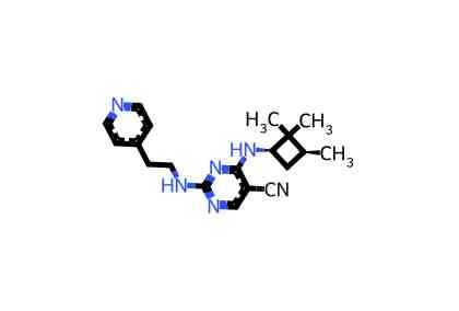 C[C@H]1C[C@@H](Nc2nc(NCCc3ccncc3)ncc2C#N)C1(C)C